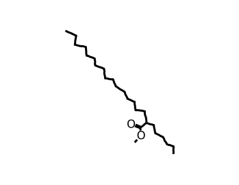 CCCCCCCCCCCCCCCCC(CCCCCC)C(=O)OC